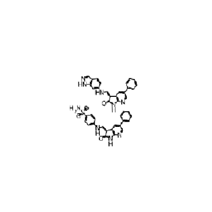 NS(=O)(=O)c1ccc(NC=C2C(=O)Nc3ncc(-c4ccccc4)cc32)cc1.O=C1Nc2ncc(-c3ccccc3)cc2C1=CNc1ccc2cn[nH]c2c1